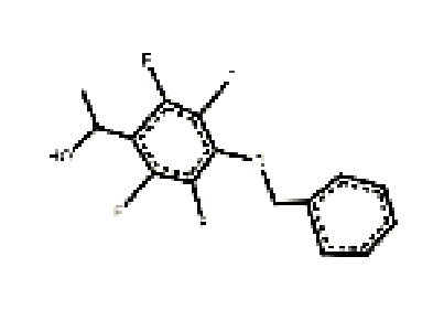 CC(O)c1c(F)c(F)c(OCc2ccccc2)c(F)c1F